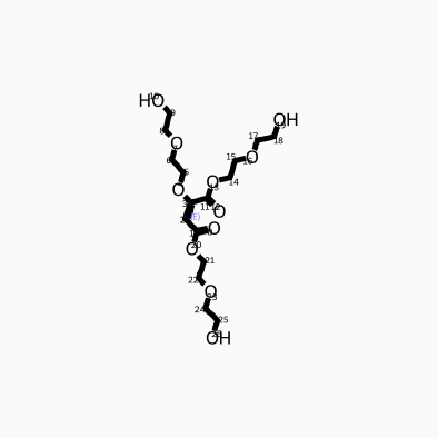 O=C(/C=C(/OCCOCCO)C(=O)OCCOCCO)OCCOCCO